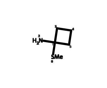 CSC1(N)CCC1